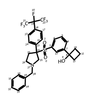 O=S(=O)(c1cccc(C2(O)CCC2)c1)C1(c2ccc(C(F)(C(F)(F)F)C(F)(F)F)cc2)CCN(Cc2ccccc2)C1